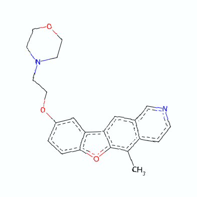 Cc1c2ccncc2cc2c1oc1ccc(OCCN3CCOCC3)cc12